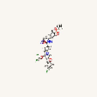 CCS(=O)(=O)c1ccc([C@H](CC#N)NC(=O)c2ccc(N3C[C@@H](Oc4ccc(F)cc4)C[C@H]3COC(F)F)cc2)cc1